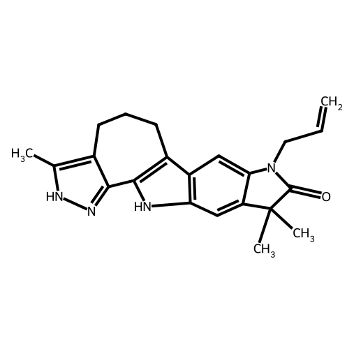 C=CCN1C(=O)C(C)(C)c2cc3[nH]c4c(c3cc21)CCCc1c-4n[nH]c1C